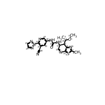 CO[C@@H](C)C1c2nc(C)sc2N=CC1NC(=O)Nc1cnc(-n2nccn2)c(C#N)c1